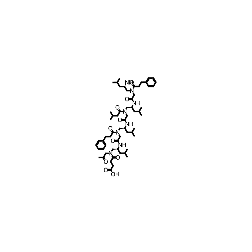 CC(=O)CN(C[C@H](CC(C)C)NC(=O)CN(C[C@H](CC(C)C)NC(=O)CN(C[C@H](CC(C)C)NC(=O)CN(C[C@@H](N)CC(C)C)C(=O)CCc1ccccc1)C(=O)CC(C)C)C(=O)CCc1ccccc1)C(=O)CCC(=O)O